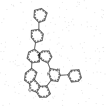 c1ccc(-c2ccc(-c3ccc(-c4ccc5oc6cccc(-c7cc(-c8ccccc8)nc(-c8ccccc8)n7)c6c5c4)cc3)cc2)cc1